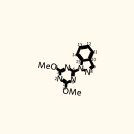 COc1nc(OC)nc(-n2ncc3ccccc32)n1